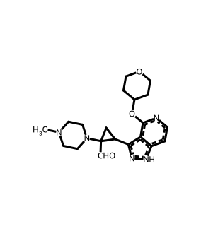 CN1CCN(C2(C=O)CC2c2n[nH]c3ccnc(OC4CCOCC4)c23)CC1